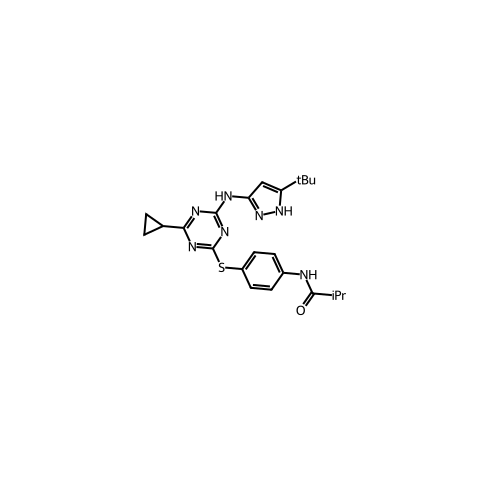 CC(C)C(=O)Nc1ccc(Sc2nc(Nc3cc(C(C)(C)C)[nH]n3)nc(C3CC3)n2)cc1